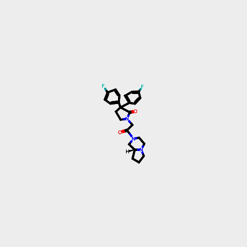 O=C(CN1CCC(c2ccc(F)cc2)(c2ccc(F)cc2)C1=O)N1CCN2CCC[C@@H]2C1